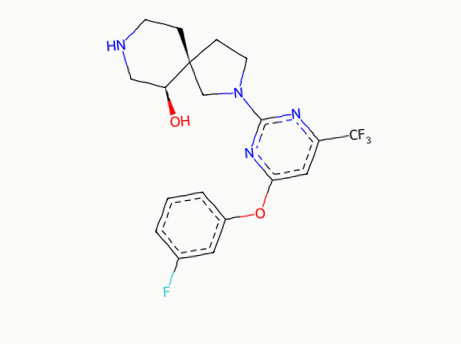 O[C@H]1CNCC[C@]12CCN(c1nc(Oc3cccc(F)c3)cc(C(F)(F)F)n1)C2